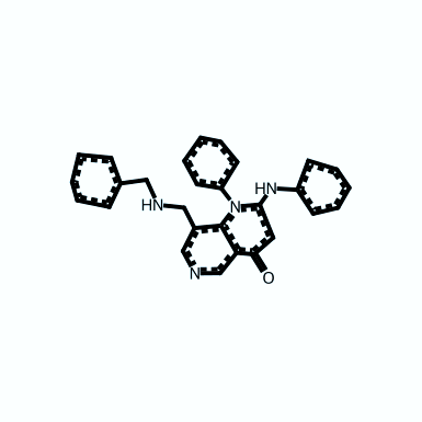 O=c1cc(Nc2ccccc2)n(-c2ccccc2)c2c(CNCc3ccccc3)cncc12